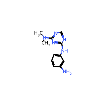 CN(C)c1ncnc(Nc2cccc(N)c2)n1